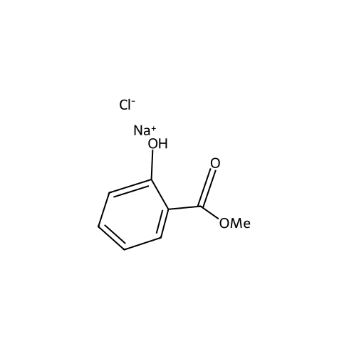 COC(=O)c1ccccc1O.[Cl-].[Na+]